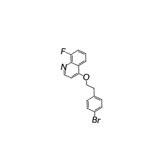 Fc1cccc2c(OCCc3ccc(Br)cc3)ccnc12